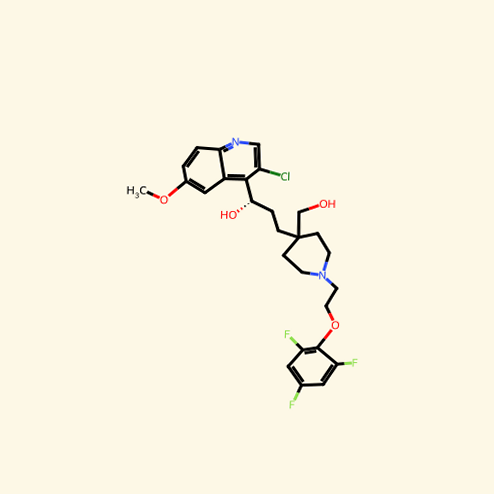 COc1ccc2ncc(Cl)c([C@@H](O)CCC3(CO)CCN(CCOc4c(F)cc(F)cc4F)CC3)c2c1